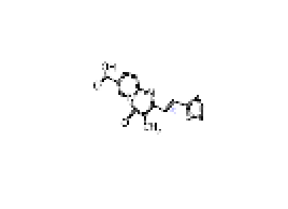 Cc1c(/C=C/c2cccs2)nc2ccc(C(=O)O)cn2c1=O